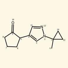 CC1(n2cc(C3CCCC3=O)cn2)CC1